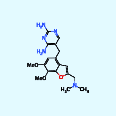 COc1cc(Cc2cnc(N)nc2N)c2cc(CN(C)C)oc2c1OC